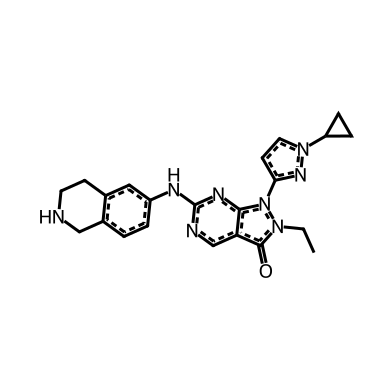 CCn1c(=O)c2cnc(Nc3ccc4c(c3)CCNC4)nc2n1-c1ccn(C2CC2)n1